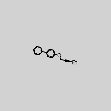 CCC#CCOc1ccc(-c2ccccc2)cc1